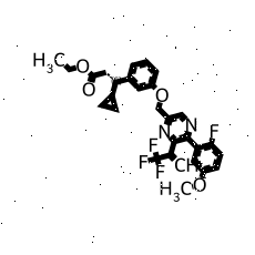 C=C(c1nc(COc2cccc([C@@H](CC(=O)OCC)C3CC3)c2)cnc1-c1cc(OC)ccc1F)C(F)(F)F